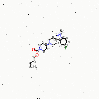 C=CCCOC(=O)N1CCC(N2CCC3(CC2)CN(C(C)=O)c2ccc(F)cc23)CC1